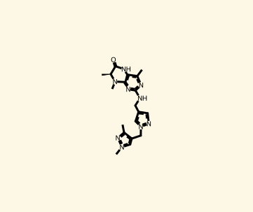 Cc1nn(C)cc1Cn1cc(CNc2nc(C)c3c(n2)N(C)[C@@H](C)C(=O)N3)cn1